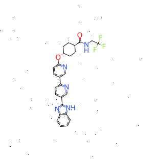 O=C(NCC(F)(F)F)[C@H]1CC[C@H](Oc2ccc(-c3ccc(-c4nc5ccccc5[nH]4)cn3)cn2)CC1